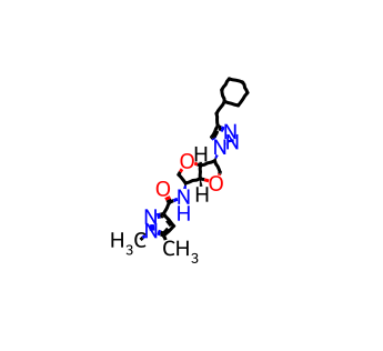 Cc1cc(C(=O)N[C@H]2CO[C@H]3[C@@H]2OC[C@@H]3n2cc(CC3CCCCC3)nn2)nn1C